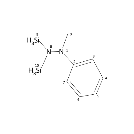 CN(c1ccccc1)N([SiH3])[SiH3]